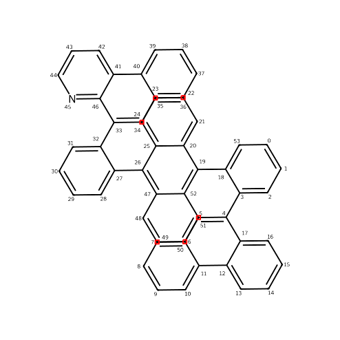 c1ccc(-c2cc3ccccc3c3ccccc23)c(-c2c3ccccc3c(-c3ccccc3-c3cc4ccccc4c4cccnc34)c3ccccc23)c1